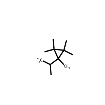 CC(C(F)(F)F)C1(C(F)(F)F)C(C)(C)C1(C)C